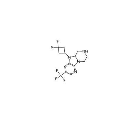 FC1(F)CC(N2c3cc(C(F)(F)F)cnc3N3CCNCC32)C1